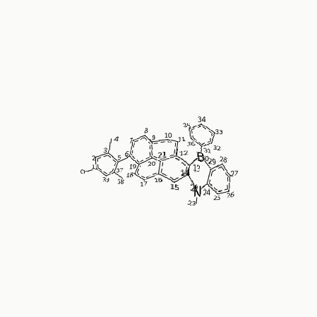 Cc1cc(C)c(-c2ccc3ccc4c5c(cc6ccc2c3c64)N(C)c2ccccc2B5c2ccccc2)c(C)c1